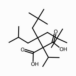 CC(C)CC(CC(C)(C)C)(CC(C)(C)C)C(C(=O)O)(C(=O)O)C(C)C